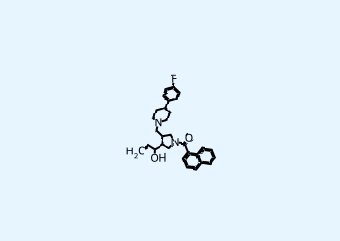 C=CC(O)C1CN(C(=O)c2cccc3ccccc23)CC1CN1CCC(c2ccc(F)cc2)CC1